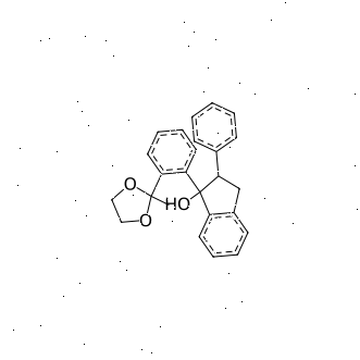 CC1(c2ccccc2C2(O)c3ccccc3CC2c2ccccc2)OCCO1